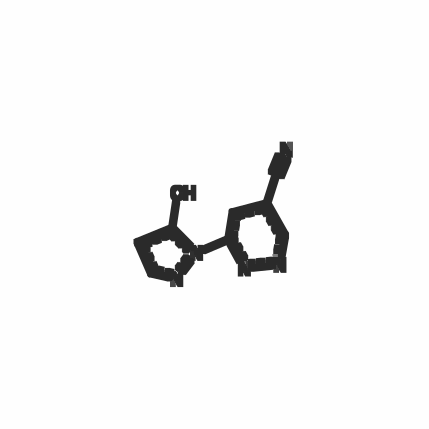 N#Cc1cnnc(-n2nccc2O)c1